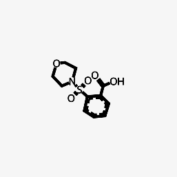 O=C(O)c1ccccc1S(=O)(=O)N1CCOCC1